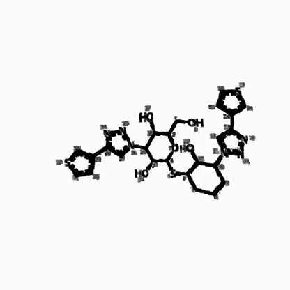 OCC1O[C@@H](S[C@@H]2CCCC(n3cc(-c4ccsc4)nn3)C2O)[C@@H](O)C(n2cc(-c3ccsc3)nn2)[C@H]1O